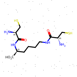 N[C@@H](CS)C(=O)NCCCC[C@H](NC(=O)[C@@H](N)CS)C(=O)O